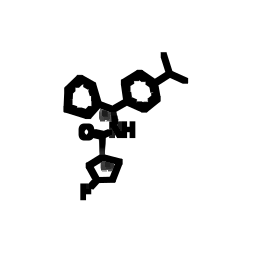 CC(C)c1ccc([C@@H](NC(=O)[C@H]2CCC(F)C2)c2ccccc2)cc1